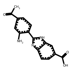 CC(=O)c1ccc(-c2nc3ccc(C(=O)O)cc3[nH]2)c(N)c1